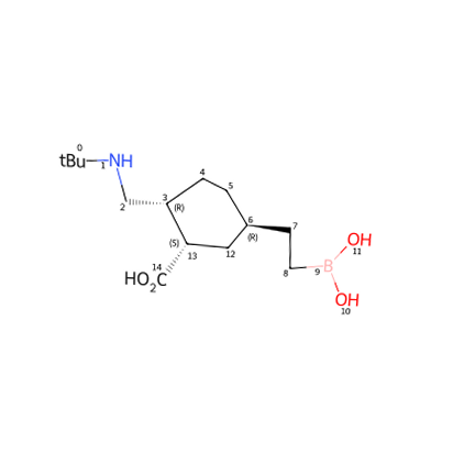 CC(C)(C)NC[C@@H]1CC[C@@H](CCB(O)O)C[C@@H]1C(=O)O